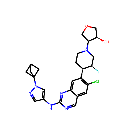 O[C@@H]1COCC1N1CC[C@H](c2cc3nc(Nc4cnn(C56CC(C5)C6)c4)ncc3cc2Cl)[C@@H](F)C1